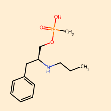 CCCN[C@H](COP(C)(=O)O)Cc1ccccc1